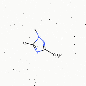 CCc1nc(C(=O)O)nn1C